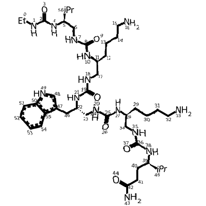 CCNC(=O)N[C@H](CNC(=O)N[C@@H](CCCCN)CNC(=O)N[C@H](CNC(=O)N[C@@H](CCCCN)CNC(=O)N[C@H](CCC(N)=O)C(C)C)Cc1c[nH]c2ccccc12)C(C)C